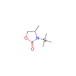 CC1COC(=O)N1[Si](C)(C)C